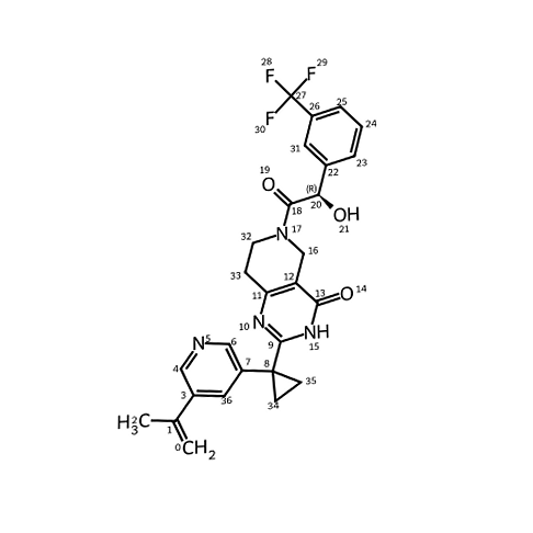 C=C(C)c1cncc(C2(c3nc4c(c(=O)[nH]3)CN(C(=O)[C@H](O)c3cccc(C(F)(F)F)c3)CC4)CC2)c1